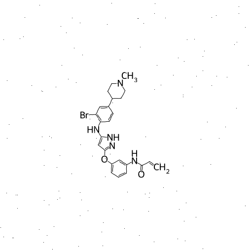 C=CC(=O)Nc1cccc(Oc2cc(Nc3ccc(C4CCN(C)CC4)cc3Br)[nH]n2)c1